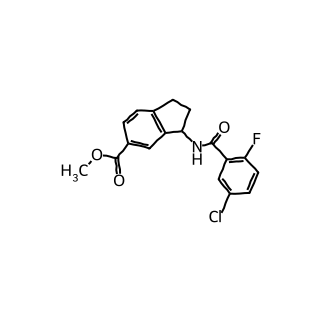 COC(=O)c1ccc2c(c1)C(NC(=O)c1cc(Cl)ccc1F)CC2